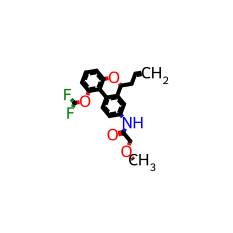 C=CCC1Oc2cccc(OC(F)F)c2-c2ccc(NC(=O)COC)cc21